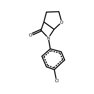 O=C1C2CCOC2N1c1ccc(Cl)cc1